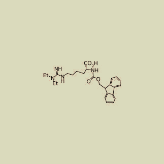 CCN(CC)C(=N)NCCCC[C@H](NC(=O)OCC1c2ccccc2-c2ccccc21)C(=O)O